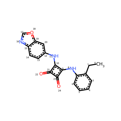 CCc1ccccc1Nc1c(Nc2ccc3ncoc3c2)c(=O)c1=O